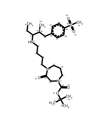 CCC(NCCCCN1CCCN(C(=O)OC(C)(C)C)CC1=O)[C@@H](C)Cc1ccc(S(C)(=O)=O)cc1